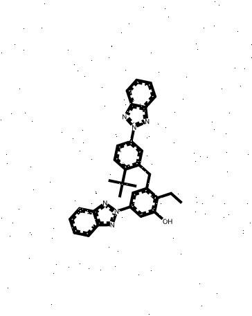 CCc1c(O)cc(-n2nc3ccccc3n2)cc1Cc1cc(-n2nc3ccccc3n2)ccc1C(C)(C)C